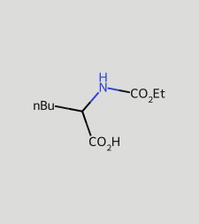 CCCCC(NC(=O)OCC)C(=O)O